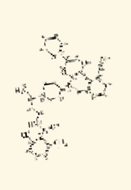 Cc1cccc(Cl)c1C(=O)NCCC(C)N1CCC(N(Cc2cccc(C#N)c2)C2=COC=C(C3=CC=CCC3)O2)CC1